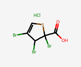 Cl.O=C(O)C1(Br)SC=C(Br)C1Br